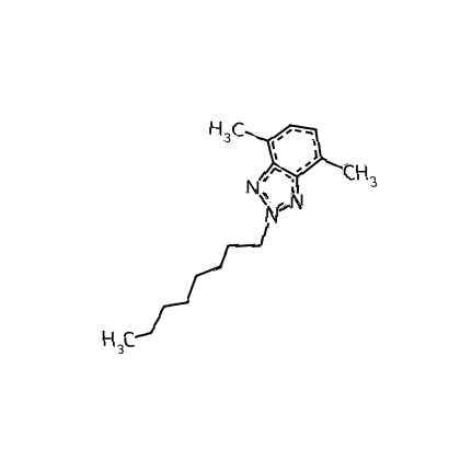 CCCCCCCCn1nc2c(C)ccc(C)c2n1